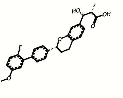 COc1ccc(F)c(-c2ccc([C@H]3CCc4ccc([C@H](O)[C@H](C)C(=O)O)cc4O3)cc2)c1